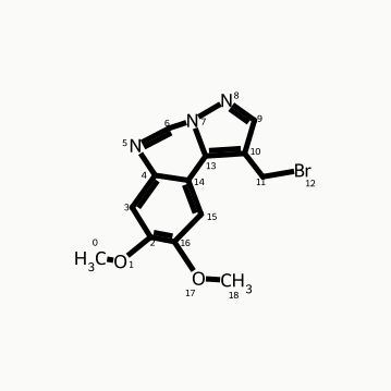 COc1cc2ncn3ncc(CBr)c3c2cc1OC